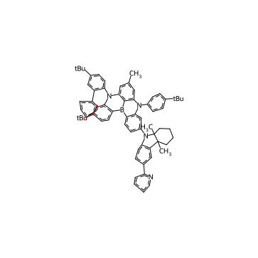 Cc1cc2c3c(c1)N(c1ccc(C(C)(C)C)cc1-c1ccccc1)c1cc(C(C)(C)C)ccc1B3c1ccc(N3c4ccc(-c5ccccn5)cc4C4(C)CCCCC34C)cc1N2c1ccc(C(C)(C)C)cc1